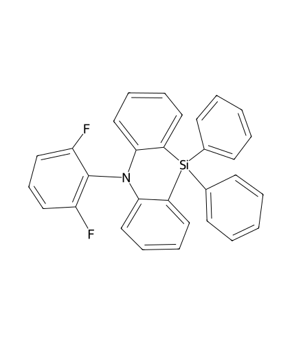 Fc1cccc(F)c1N1c2ccccc2[Si](c2ccccc2)(c2ccccc2)c2ccccc21